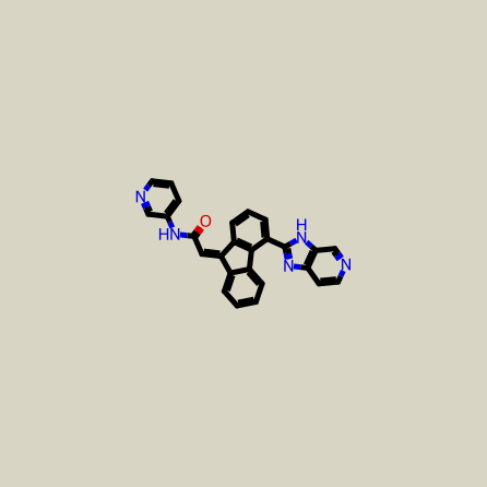 O=C(C=C1c2ccccc2-c2c1cccc2-c1nc2ccncc2[nH]1)Nc1cccnc1